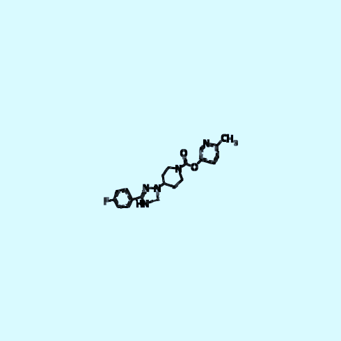 Cc1ccc(OC(=O)N2CCC(N3CNC(c4ccc(F)cc4)=N3)CC2)cn1